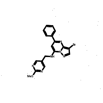 CSc1ncc(CNc2cc(-c3ccccc3)nc3c(Br)cnn23)cn1